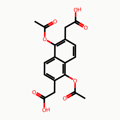 CC(=O)Oc1c(CC(=O)O)ccc2c(OC(C)=O)c(CC(=O)O)ccc12